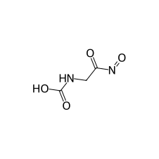 O=NC(=O)CNC(=O)O